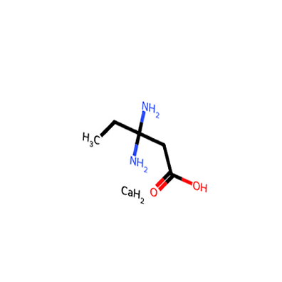 CCC(N)(N)CC(=O)O.[CaH2]